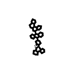 c1ccc2c(c1)ccc1cc(-c3c4ccccc4c(-c4ccc5c(c4)sc4c6ccccc6c6ccccc6c54)c4ccccc34)c3ccccc3c12